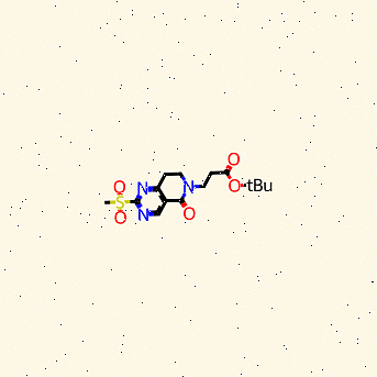 CC(C)(C)OC(=O)CCN1CCc2nc(S(C)(=O)=O)ncc2C1=O